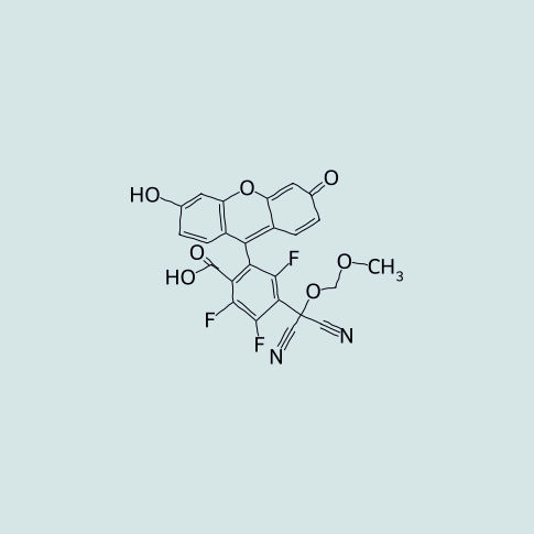 COCOC(C#N)(C#N)c1c(F)c(F)c(C(=O)O)c(-c2c3ccc(=O)cc-3oc3cc(O)ccc23)c1F